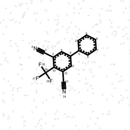 N#Cc1cc(-c2ccccc2)cc(C#N)c1C(F)(F)F